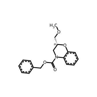 COC[C@H]1CN(C(=O)OCc2ccccc2)c2ccccc2O1